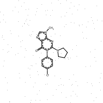 Cn1cnc2c(=O)n(-c3ccc(Cl)cc3)c(N3CCCC3)nc21